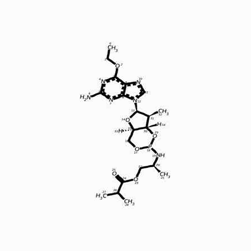 CCOc1nc(N)nc2c1ncn2[C@@H]1O[C@@H]2COP(N[C@@H](C)COC(=O)C(C)C)O[C@H]2[C@@H]1C